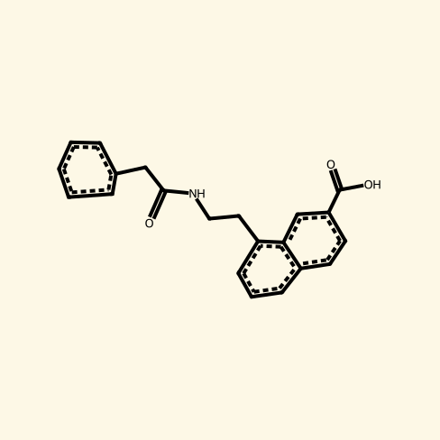 O=C(Cc1ccccc1)NCCc1cccc2ccc(C(=O)O)cc12